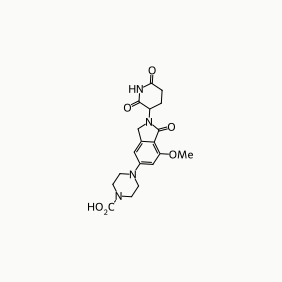 COc1cc(N2CCN(C(=O)O)CC2)cc2c1C(=O)N(C1CCC(=O)NC1=O)C2